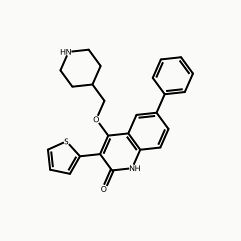 O=c1[nH]c2ccc(-c3ccccc3)cc2c(OCC2CCNCC2)c1-c1cccs1